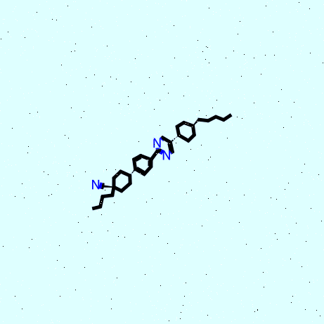 CCCCC[C@H]1CC[C@H](c2cnc(-c3ccc([C@H]4CC[C@@](C#N)(CCCC)CC4)cc3)nc2)CC1